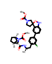 CC(C)(C)OC(=O)N1CCC2(C1)ONc1ccc(-c3ccc(C[C@@H](C#N)NC(=O)[C@@H]4[C@H]5CC[C@H](C5)N4C(=O)OC(C)(C)C)c(F)c3)cc12